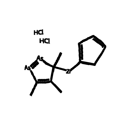 CC1=C(C)[C](C)([Zr][C]2=CC=CC2)[As]=[As]1.Cl.Cl